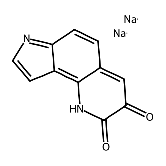 O=C1C=c2ccc3c(c2NC1=O)C=CN=3.[Na].[Na]